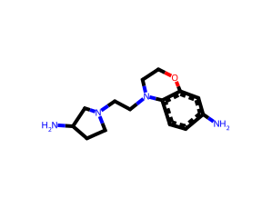 Nc1ccc2c(c1)OCCN2CCN1CCC(N)C1